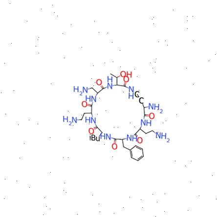 CCC(C)C1NC(=O)C(Cc2ccccc2)NC(=O)C(CCN)NC(=O)C(N)CCNC(=O)C(C(C)O)NC(=O)C(CN)NC(=O)C(CCN)NC1=O